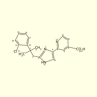 CC(C)(Cc1nc(-c2cc(C(=O)O)ccn2)c[nH]1)c1ccccc1Cl